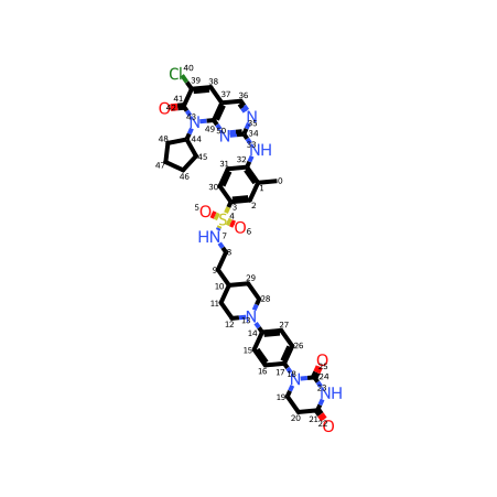 Cc1cc(S(=O)(=O)NCCC2CCN(c3ccc(N4CCC(=O)NC4=O)cc3)CC2)ccc1Nc1ncc2cc(Cl)c(=O)n(C3CCCC3)c2n1